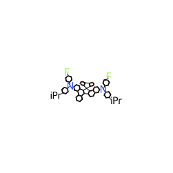 CC(C)c1ccc(N(c2ccc(F)cc2)c2ccc3c4c(ccc3c2)-c2c(c3ccc(N(c5ccc(F)cc5)c5ccc(C(C)C)cc5)cc3c3ccccc23)C42c3ccccc3-c3ccccc32)cc1